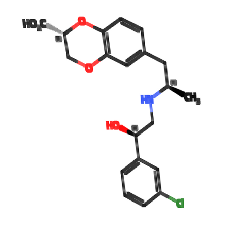 C[C@H](Cc1ccc2c(c1)OC[C@H](C(=O)O)O2)NC[C@H](O)c1cccc(Cl)c1